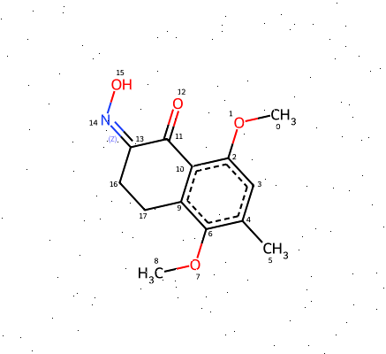 COc1cc(C)c(OC)c2c1C(=O)/C(=N\O)CC2